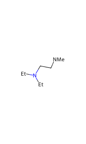 [CH]NCCN(CC)CC